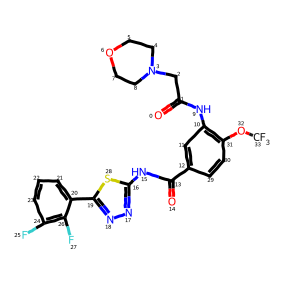 O=C(CN1CCOCC1)Nc1cc(C(=O)Nc2nnc(-c3cccc(F)c3F)s2)ccc1OC(F)(F)F